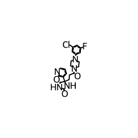 O=C1NC(=O)C(CCC(=O)N2CCN(c3cc(F)cc(Cl)c3)CC2)(c2cccnc2)N1